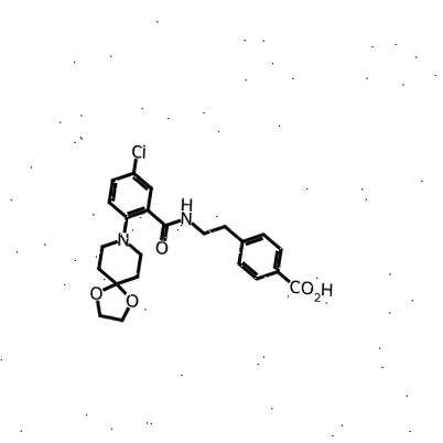 O=C(O)c1ccc(CCNC(=O)c2cc(Cl)ccc2N2CCC3(CC2)OCCO3)cc1